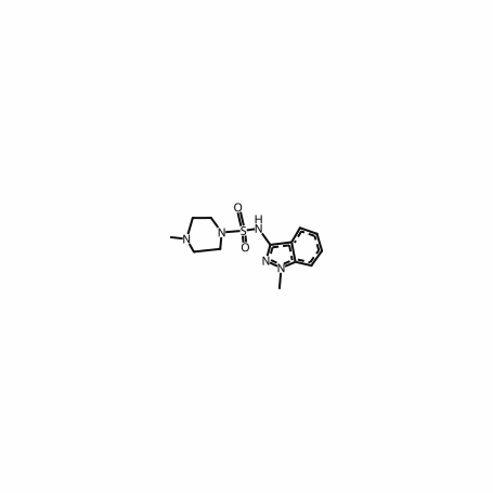 CN1CCN(S(=O)(=O)Nc2nn(C)c3ccccc23)CC1